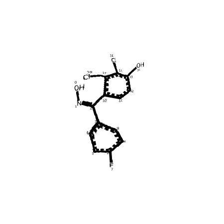 ON=C(c1ccc(F)cc1)c1ccc(O)c(Cl)c1Cl